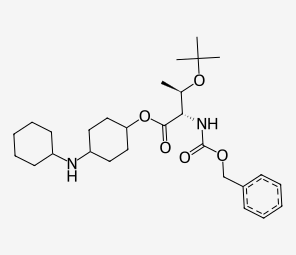 C[C@@H](OC(C)(C)C)[C@H](NC(=O)OCc1ccccc1)C(=O)OC1CCC(NC2CCCCC2)CC1